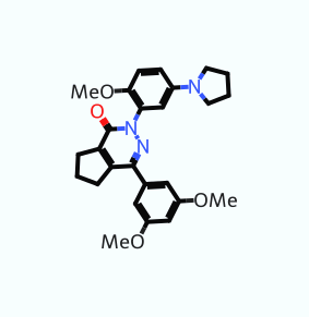 COc1cc(OC)cc(-c2nn(-c3cc(N4CCCC4)ccc3OC)c(=O)c3c2CCC3)c1